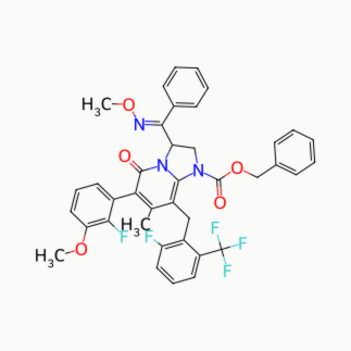 CON=C(c1ccccc1)C1CN(C(=O)OCc2ccccc2)c2c(Cc3c(F)cccc3C(F)(F)F)c(C)c(-c3cccc(OC)c3F)c(=O)n21